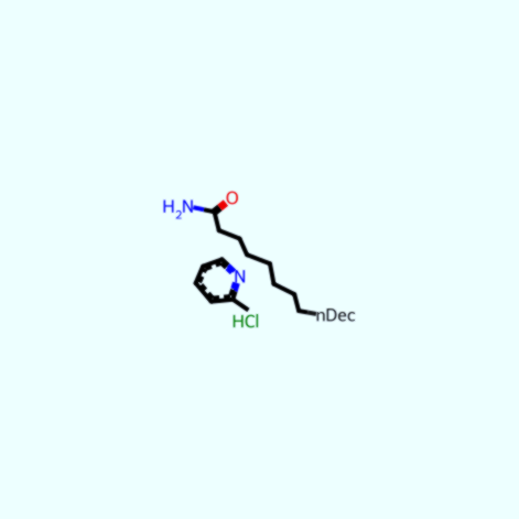 CCCCCCCCCCCCCCCCCC(N)=O.Cc1ccccn1.Cl